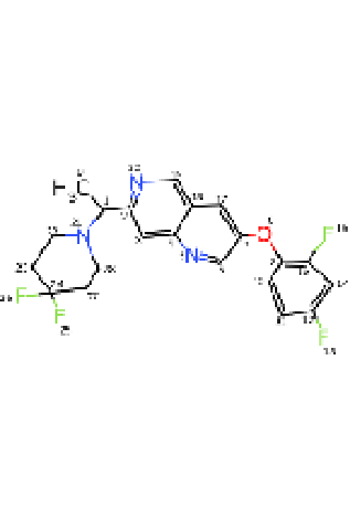 CC(c1cc2ncc(Oc3ccc(F)cc3F)cc2cn1)N1CCC(F)(F)CC1